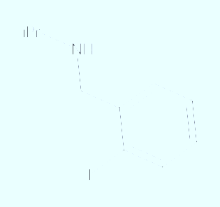 CC(C)NCc1ccccc1I